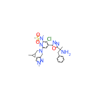 CC1CC1CN(Cc1ccn(C)n1)c1cc(-c2nnc(C(C)(N)Cc3ccccc3)o2)c(Cl)c(N(C)S(C)(=O)=O)n1